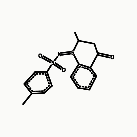 Cc1ccc(S(=O)(=O)/N=S2\c3ccccc3C(=O)CC2C)cc1